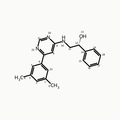 Cc1cc(C)cc(-c2cc(NC[C@H](O)c3ccccc3)ncn2)c1